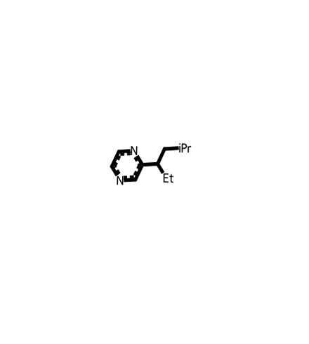 CCC(CC(C)C)c1cnccn1